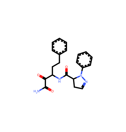 NC(=O)C(=O)C(CCc1ccccc1)NC(=O)C1CC=NN1c1ccccc1